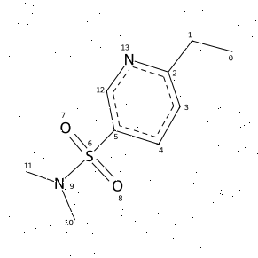 CCc1ccc(S(=O)(=O)N(C)C)cn1